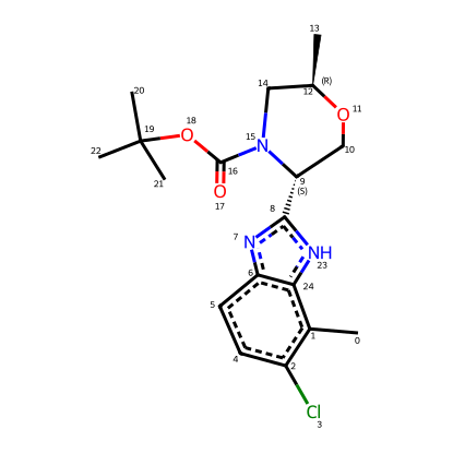 Cc1c(Cl)ccc2nc([C@H]3CO[C@H](C)CN3C(=O)OC(C)(C)C)[nH]c12